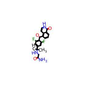 CC(C)(NCC(N)=O)c1cc(F)c(C(=O)c2cccc3c(=O)[nH]ccc23)c(F)c1